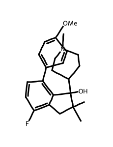 COc1ccc(-c2ccc(F)c3c2C(O)(C2CCN(C)CC2)C(C)(C)C3)cc1